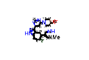 CN/C=C(\C=N)C1=C(F)C=C=c2[nH]nc(-c3cc(N4CC[S+]([O-])CC4)ncn3)c2=C1